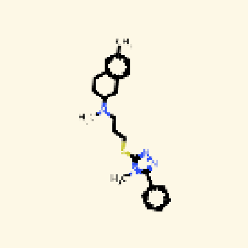 Cc1ccc2c(c1)CCC(N(C)CCCSc1nnc(-c3ccccc3)n1C)C2